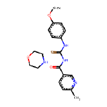 C1COCCN1.CCCCCCOc1ccc(NC(=S)NC(=O)c2ccc(C)nc2)cc1